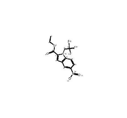 CCOC(=O)c1cc2cc([N+](=O)[O-])ccc2n1CC(F)(F)F